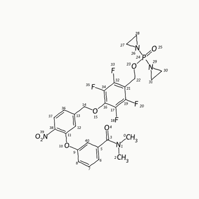 CN(C)C(=O)c1cccc(Oc2cc(COc3c(F)c(F)c(COP(=O)(N4CC4)N4CC4)c(F)c3F)ccc2[N+](=O)[O-])c1